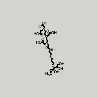 COC(O)C(OCCCSCCNC(=O)CN(CCN(CCN(CC(=O)O)CC(=O)O)CC(=O)O)CC(=O)O)[C@H](O)CO